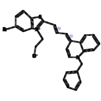 [O-]CC[n+]1c(/C=C/C=C2\C=CN(Cc3ccccc3)c3ccccc32)sc2ccc(Br)cc21